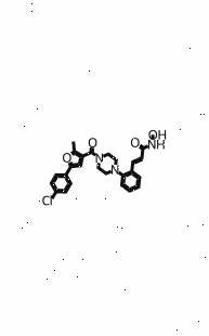 Cc1oc(-c2ccc(Cl)cc2)cc1C(=O)N1CCN(c2ccccc2C=CC(=O)NO)CC1